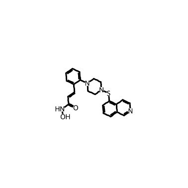 O=C(/C=C/c1ccccc1N1CCN(Sc2cccc3cnccc23)CC1)NO